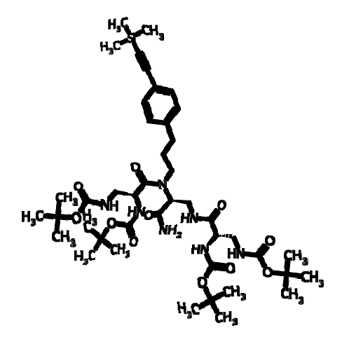 CC(C)(C)OC(=O)NC[C@H](NC(=O)OC(C)(C)C)C(=O)NC[C@@H](C(N)=O)N(CCCc1ccc(C#C[Si](C)(C)C)cc1)C(=O)[C@H](CNC(=O)OC(C)(C)C)NC(=O)OC(C)(C)C